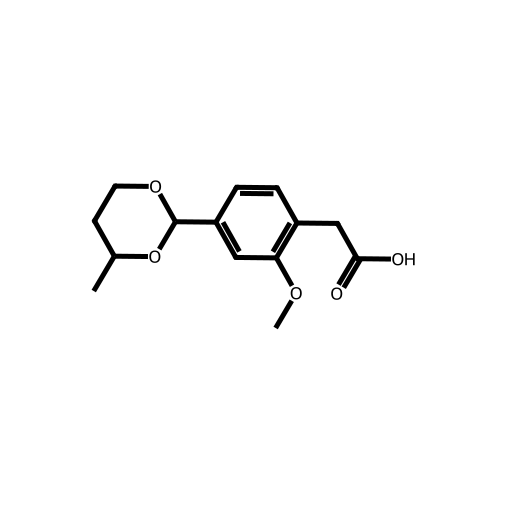 COc1cc(C2OCCC(C)O2)ccc1CC(=O)O